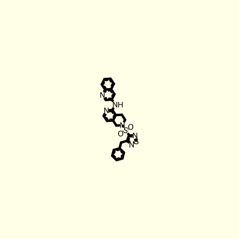 O=S(=O)(c1nsnc1Cc1ccccc1)N1CCc2c(ccnc2Nc2cnc3ccccc3c2)C1